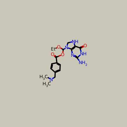 CCOC(OC(=O)c1ccc(CN(C)C)cc1)N1CNc2c1nc(N)[nH]c2=O